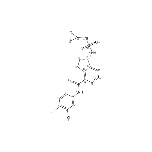 O=C(Nc1ccc(F)c(Cl)c1)c1cccc2c1CC[C@@H]2NS(=O)(=O)NC1CC1